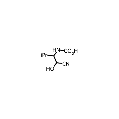 CC(C)C(NC(=O)O)C(O)C#N